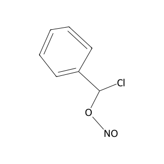 O=NOC(Cl)c1ccccc1